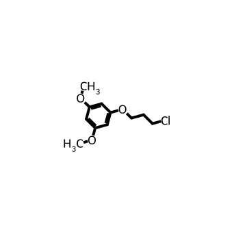 COc1cc(OC)cc(OCCCCl)c1